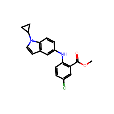 COC(=O)c1cc(Cl)ccc1Nc1ccc2c(ccn2C2CC2)c1